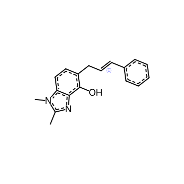 Cc1nc2c(O)c(C/C=C/c3ccccc3)ccc2n1C